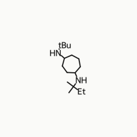 CCC(C)(C)NC1CCCC(NC(C)(C)C)CC1